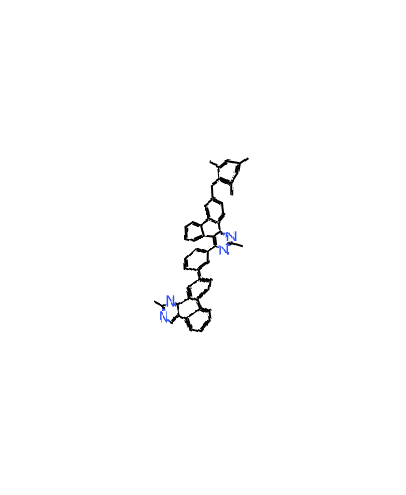 Cc1cc(C)c(Cc2ccc3c(c2)c2ccccc2c2c(-c4cccc(-c5ccc6c7ccccc7c7cnc(C)nc7c6c5)c4)nc(C)nc32)c(C)c1